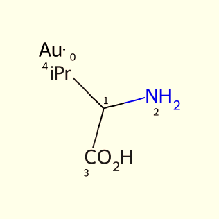 CC(C)C(N)C(=O)O.[Au]